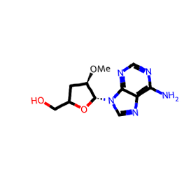 CO[C@@H]1CC(CO)O[C@H]1n1cnc2c(N)ncnc21